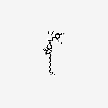 CCc1cc(C)c(CC[S+]([O-])N2CCC3(CC2)N=C(CCCCCCCCC(F)(F)F)NC3=O)c(C)c1